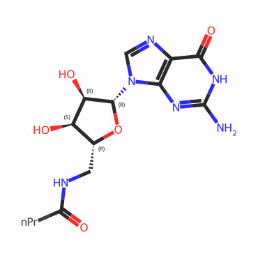 CCCC(=O)NC[C@H]1O[C@@H](n2cnc3c(=O)[nH]c(N)nc32)[C@H](O)[C@@H]1O